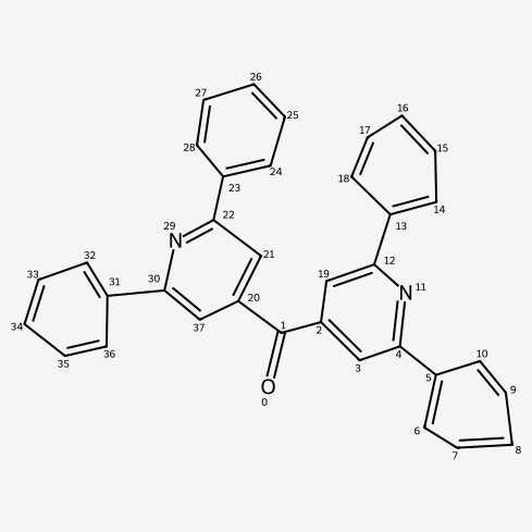 O=C(c1cc(-c2ccccc2)nc(-c2ccccc2)c1)c1cc(-c2ccccc2)nc(-c2ccccc2)c1